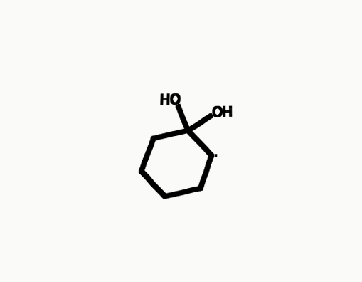 OC1(O)[CH]CCCC1